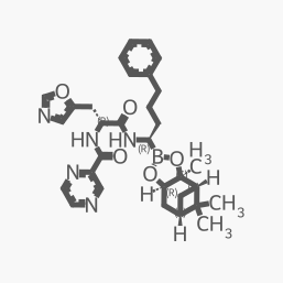 CC1(C)[C@@H]2C[C@H]3OB([C@H](CCCc4ccccc4)NC(=O)[C@@H](Cc4cnco4)NC(=O)c4cnccn4)O[C@@]3(C)[C@H]1C2